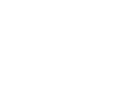 Brc1ccc(OCI)cc1